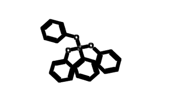 c1ccc(O[Si](Oc2ccccc2)(Oc2ccccc2)c2ccccc2)cc1